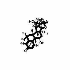 [2H]C1=CC(=O)C([2H])=C2C([2H])([2H])C[C@@H]3[C@H]([C@@H](O)C[C@@]4(C)[C@H]3C[C@H]3OC([2H])(CCC)O[C@]34C(=O)C([2H])([2H])O)[C@@]12C